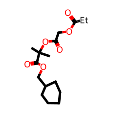 CCC(=O)OCC(=O)OC(C)(C)C(=O)OCC1CCCCC1